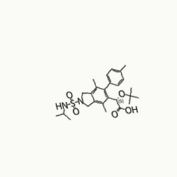 Cc1ccc(-c2c(C)c3c(c(C)c2[C@H](OC(C)(C)C)C(=O)O)CN(S(=O)(=O)NC(C)C)C3)cc1